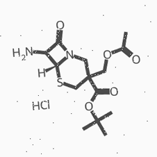 CC(=O)OCC1(C(=O)OC(C)(C)C)CS[C@@H]2C(N)C(=O)N2C1.Cl